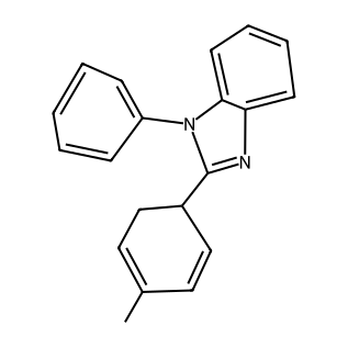 CC1=CCC(c2nc3ccccc3n2-c2ccccc2)C=C1